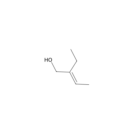 C/C=C(\CC)CO